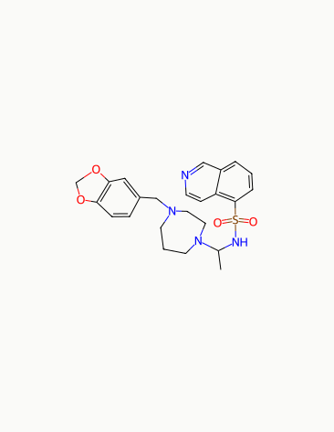 CC(NS(=O)(=O)c1cccc2cnccc12)N1CCCN(Cc2ccc3c(c2)OCO3)CC1